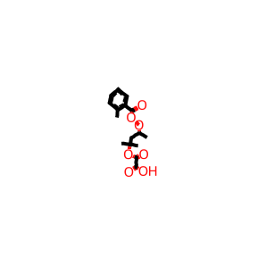 Cc1ccccc1C(=O)OOC(C)CC(C)(C)OC(=O)C(=O)O